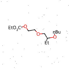 CCCCOC(CC)COCCOC(=O)OCC